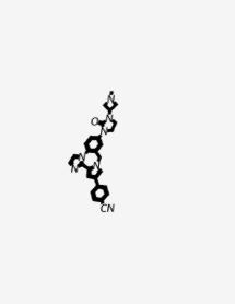 CN1CC(N2CCN(c3ccc4c(c3)Cn3cc(-c5ccc(C#N)cc5)cc3-c3nccn3-4)C2=O)C1